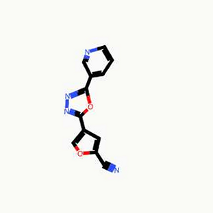 N#Cc1cc(-c2nnc(-c3cccnc3)o2)co1